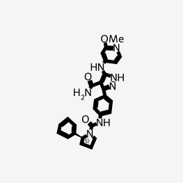 COc1cc(Nc2[nH]nc(-c3ccc(NC(=O)N4CCC[C@H]4c4ccccc4)cc3)c2C(N)=O)ccn1